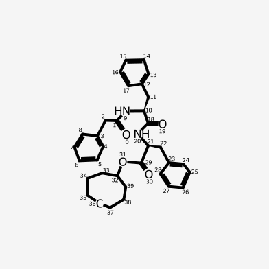 O=C(Cc1ccccc1)N[C@@H](Cc1ccccc1)C(=O)N[C@@H](Cc1ccccc1)C(=O)OC1CCCCCCC1